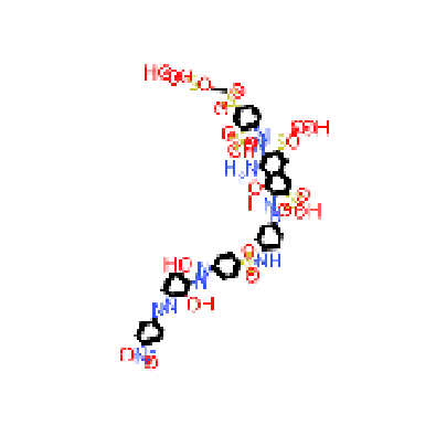 Nc1c(/N=N/c2ccc(S(=O)(=O)CCOSOOO)cc2S(=O)(=O)O)c(SOOO)cc2cc(S(=O)(=O)O)c(/N=N/c3ccc(NS(=O)(=O)c4ccc(/N=N/c5c(O)ccc(N=Nc6ccc([N+](=O)[O-])cc6)c5O)cc4)cc3)c(O)c12